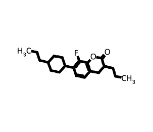 CCCC1CCC(c2ccc3c(c2F)OC(=O)C(CCC)C3)CC1